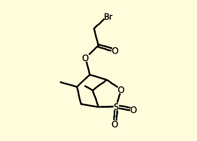 CC1CC2C(C)C(OS2(=O)=O)C1OC(=O)CBr